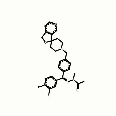 CC(=O)N(C)/N=C(\c1ccc(CN2CCC3(CC2)OCc2ccncc23)cc1)c1ccc(F)c(F)c1